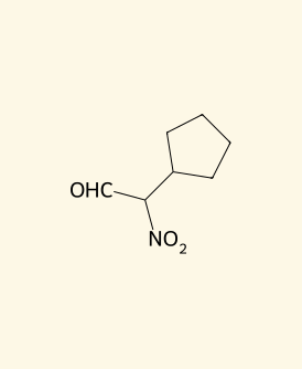 O=CC(C1CCCC1)[N+](=O)[O-]